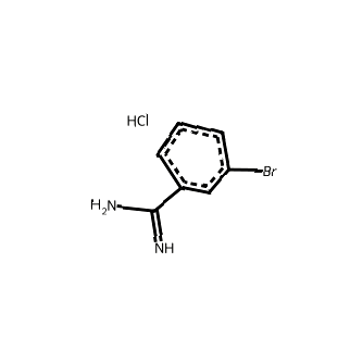 Cl.N=C(N)c1cccc(Br)c1